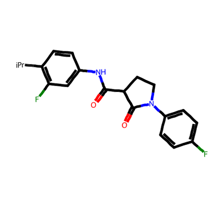 CC(C)c1ccc(NC(=O)C2CCN(c3ccc(F)cc3)C2=O)cc1F